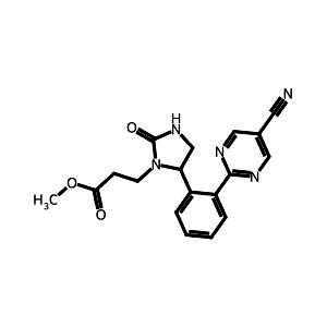 COC(=O)CCN1C(=O)NCC1c1ccccc1-c1ncc(C#N)cn1